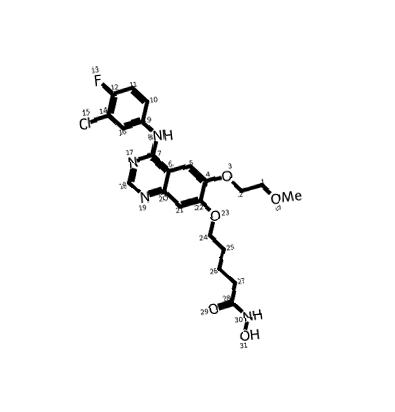 COCCOc1cc2c(Nc3ccc(F)c(Cl)c3)ncnc2cc1OCCCCC(=O)NO